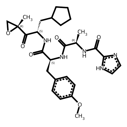 COc1ccc(C[C@H](NC(=O)[C@@H](C)NC(=O)c2ncc[nH]2)C(=O)N[C@@H](CC2CCCC2)C(=O)[C@@]2(C)CO2)cc1